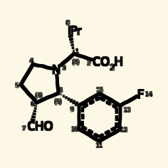 CC(C)[C@H](C(=O)O)N1CC[C@@H](C=O)[C@H]1c1cccc(F)c1